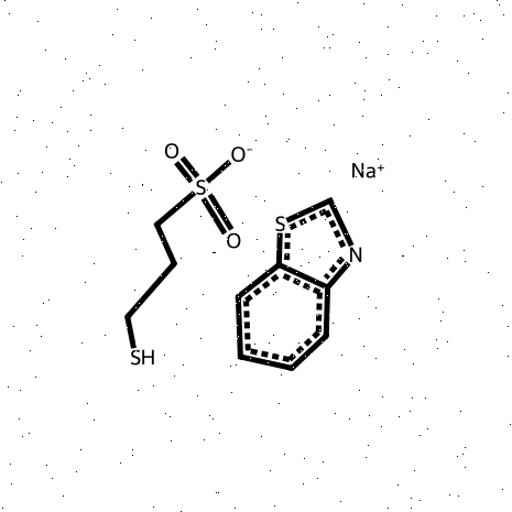 O=S(=O)([O-])CCCS.[Na+].c1ccc2scnc2c1